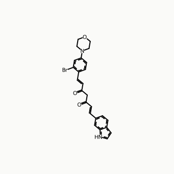 O=C(C=Cc1ccc2cc[nH]c2c1)CC(=O)C=Cc1ccc(N2CCOCC2)cc1Br